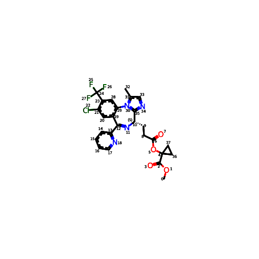 COC(=O)C1(OC(=O)CC[C@@H]2N=C(c3ccccn3)c3cc(Cl)c(C(F)(F)F)cc3-n3c(C)cnc32)CC1